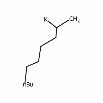 CCCCCCCC[CH](C)[K]